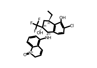 CC[C@@H]1C[C@](O)(C(F)(F)F)[C@@H](Nc2cccc3c2C=CC[N+]3=O)c2ccc(Cl)c(O)c21